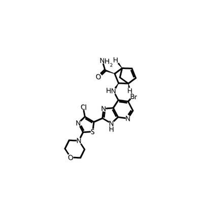 NC(=O)[C@@H]1[C@H](Nc2c(Br)cnc3[nH]c(-c4sc(N5CCOCC5)nc4Cl)nc23)[C@H]2C=C[C@@H]1C2